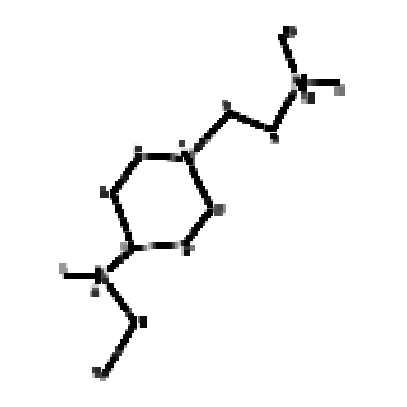 CCN(C)C1CCN(CCN(C)C)CC1